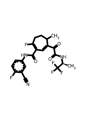 CC1CCC(F)=C(C(=O)Nc2ccc(F)c(C#N)c2)C=C1C(=O)C(=O)N[C@@H](C)C(F)(F)F